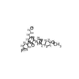 COc1ccc(Cn2cc(-c3nc(CCC=O)cn(-c4ccc(F)cc4)c3=O)cn2)cc1